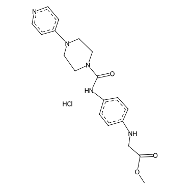 COC(=O)CNc1ccc(NC(=O)N2CCN(c3ccncc3)CC2)cc1.Cl